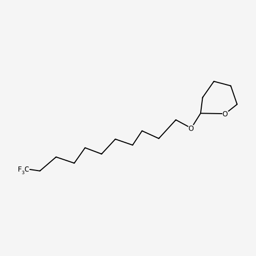 FC(F)(F)CCCCCCCCCCOC1CCCCO1